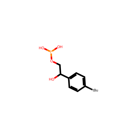 CC(C)(C)c1ccc(C(O)COP(O)O)cc1